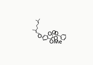 COc1c(OC(=O)c2ccccc2)c(=O)oc2cc(OCC=C(C)CCC=C(C)C)ccc12